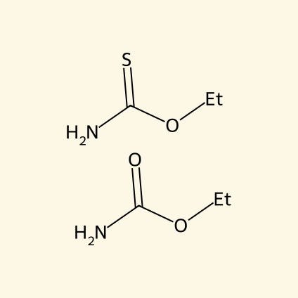 CCOC(N)=O.CCOC(N)=S